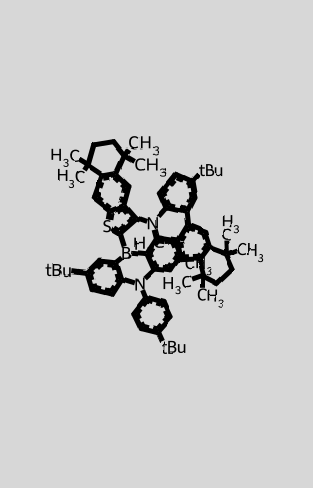 Cc1cc2c3c(c1)N(c1ccc(C(C)(C)C)cc1-c1cc4c(cc1C)C(C)(C)CCC4(C)C)c1c(sc4cc5c(cc14)C(C)(C)CCC5(C)C)B3c1cc(C(C)(C)C)ccc1N2c1ccc(C(C)(C)C)cc1